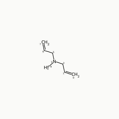 C=CC[N]([Hf])CC=C